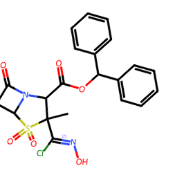 CC1(/C(Cl)=N/O)C(C(=O)OC(c2ccccc2)c2ccccc2)N2C(=O)CC2S1(=O)=O